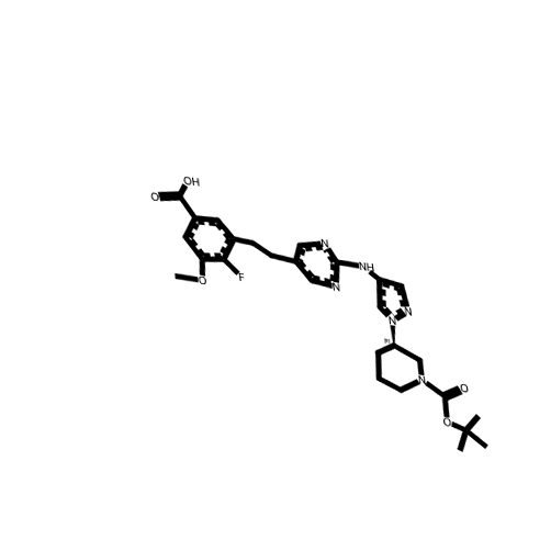 COc1cc(C(=O)O)cc(CCc2cnc(Nc3cnn([C@@H]4CCCN(C(=O)OC(C)(C)C)C4)c3)nc2)c1F